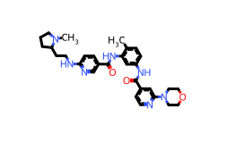 Cc1ccc(NC(=O)c2ccnc(N3CCOCC3)c2)cc1NC(=O)c1ccc(NCCC2CCCN2C)nc1